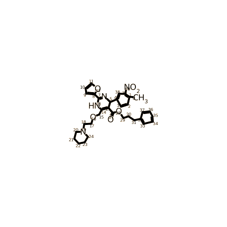 Cc1ccc(C2N=C(c3ccco3)NC(COCCN3CCCCC3)=C2C(=O)OCCCc2ccccc2)cc1[N+](=O)[O-]